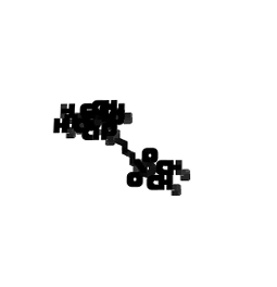 CC1=C(C)C(=O)N(CCCCCCOC(=O)C(C)(CC(C)(C)C)C(C)(C)C)C1=O